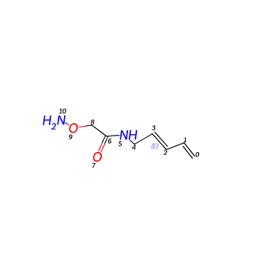 C=C/C=C/CNC(=O)CON